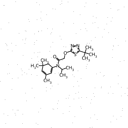 CC1=CC(C)(C)CC(N(C(=O)COc2nnc(C(C)(C)C)s2)C(C)C)=C1